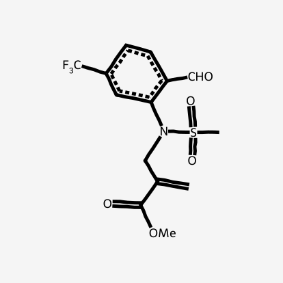 C=C(CN(c1cc(C(F)(F)F)ccc1C=O)S(C)(=O)=O)C(=O)OC